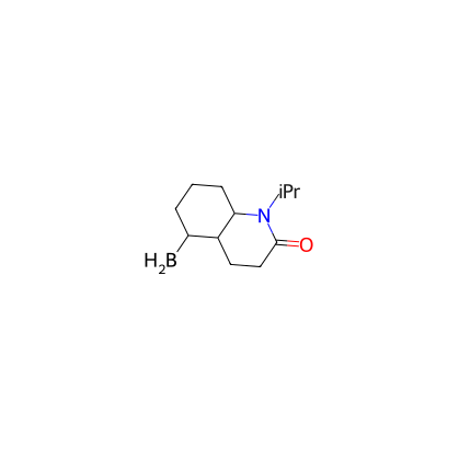 BC1CCCC2C1CCC(=O)N2C(C)C